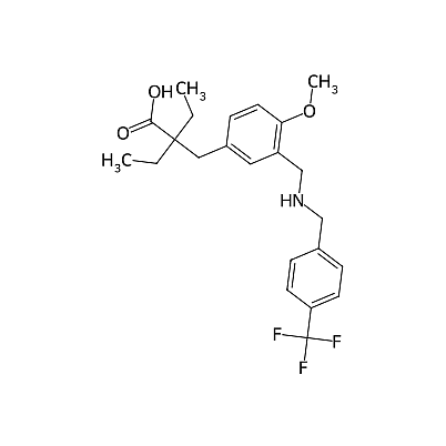 CCC(CC)(Cc1ccc(OC)c(CNCc2ccc(C(F)(F)F)cc2)c1)C(=O)O